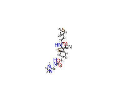 Cn1ccnc1CNC(=O)OCC1CCc2c(sc(NC(=O)C=Cc3ccsc3)c2C#N)C1